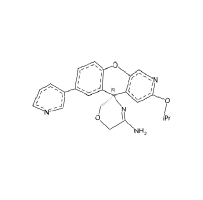 CC(C)Oc1cc2c(cn1)Oc1ccc(-c3cccnc3)cc1[C@@]21COCC(N)=N1